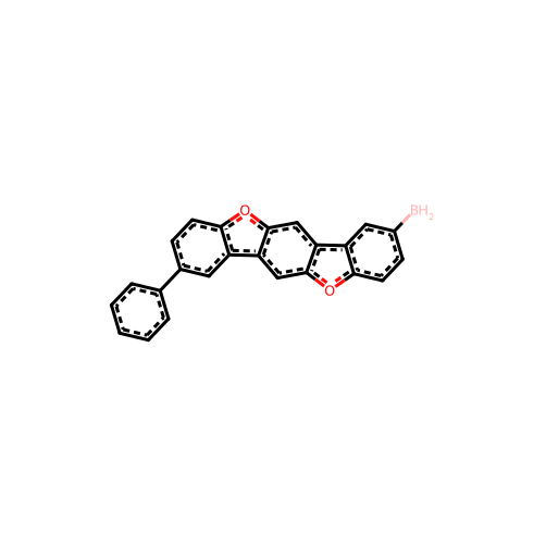 Bc1ccc2oc3cc4c(cc3c2c1)oc1ccc(-c2ccccc2)cc14